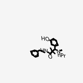 CCCN(C)C(c1cccc(O)c1)C(C)(C)C(=O)NCCc1ccccc1